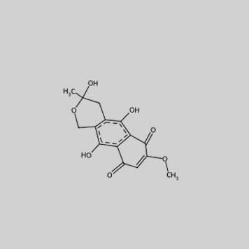 COC1=CC(=O)c2c(O)c3c(c(O)c2C1=O)CC(C)(O)OC3